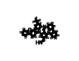 CC(C)(C)c1ccc2c(c1)c1c3oc4ccccc4c3ccc1n2-c1cc(C=N)cc(-n2c3ccccc3c3ccccc32)c1C#N